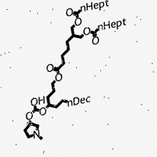 CCCCCCCCCCCCC(CCCOC(=O)CCCCC(COC(=O)CCCCCCC)COC(=O)CCCCCCC)OC(O)O[C@@H]1CCN(C)C1